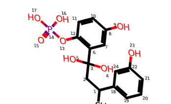 CC(CC(O)(O)c1cc(O)ccc1OP(=O)(O)O)c1cccc(O)c1